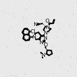 C=CC(=O)N1CCN(c2nc(OC[C@H]3CCC[C@@H]3N(C)C)nc3c2CCN(c2cccc4cccc(Cl)c24)C3)C[C@@H]1CC#N